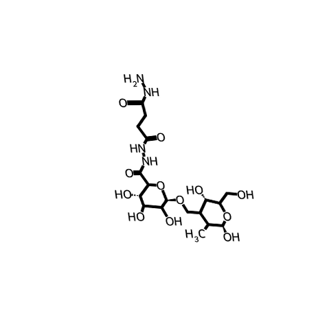 CC1C(CO[C@@H]2OC(C(=O)NNC(=O)CCC(=O)NN)[C@@H](O)C(O)C2O)[C@H](O)C(CO)O[C@H]1O